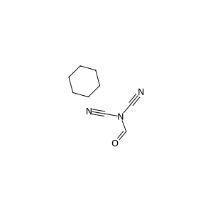 C1CCCCC1.N#CN(C#N)C=O